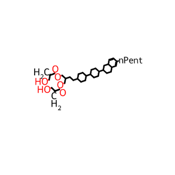 C=C(CO)C(=O)OCC(CCC1CCC(C2CCC(C3CCC4C=C(CCCCC)C=CC4C3)CC2)CC1)COC(=O)C(=C)CO